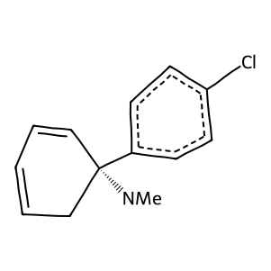 CN[C@@]1(c2ccc(Cl)cc2)C=CC=CC1